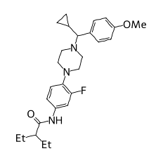 CCC(CC)C(=O)Nc1ccc(N2CCN(C(c3ccc(OC)cc3)C3CC3)CC2)c(F)c1